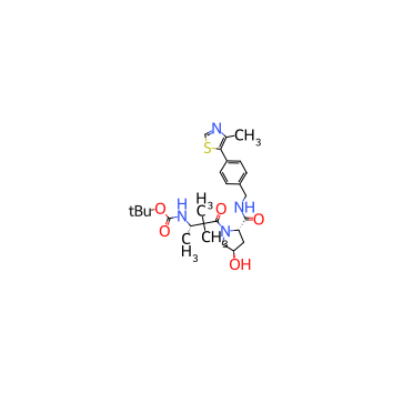 Cc1ncsc1-c1ccc(CNC(=O)[C@@H]2C[C@@H](O)CN2C(=O)C(C)(C)[C@H](C)NC(=O)OC(C)(C)C)cc1